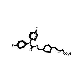 O=C(O)COCC1CCC(COC(=O)N(c2ccc(F)cc2)c2ccc(Cl)cc2)CC1